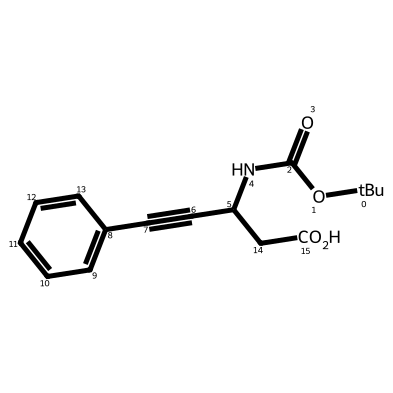 CC(C)(C)OC(=O)NC(C#Cc1ccccc1)CC(=O)O